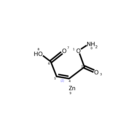 NOC(=O)/C=C\C(=O)O.[Zn]